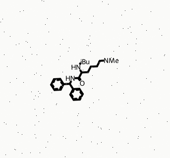 CCC(C)NC(CCCCNC)C(=O)NC(c1ccccc1)c1ccccc1